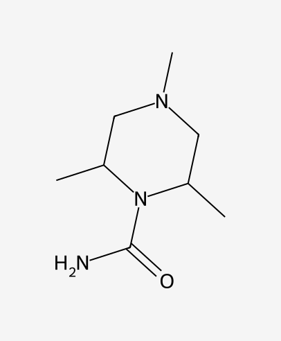 CC1CN(C)CC(C)N1C(N)=O